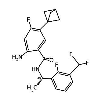 C[C@@H](NC(=O)c1cc(C23CC(C2)C3)c(F)cc1N)c1cccc(C(F)F)c1F